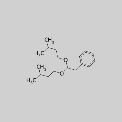 CC(C)CCOC(Cc1ccccc1)OCCC(C)C